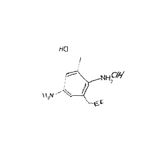 CCc1cc(N)cc(C)c1N.Cl.Cl